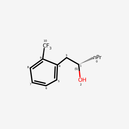 CCC[C@H](O)Cc1ccccc1C(F)(F)F